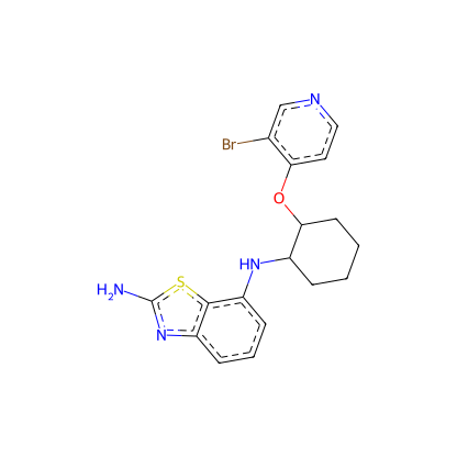 Nc1nc2cccc(NC3CCCCC3Oc3ccncc3Br)c2s1